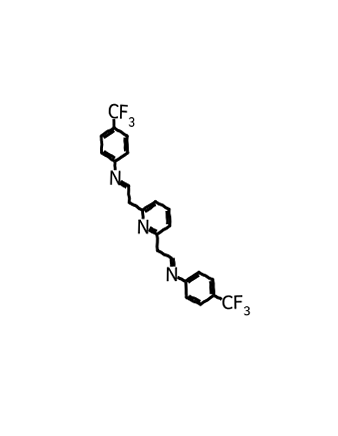 FC(F)(F)c1ccc(N=CCc2cccc(CC=Nc3ccc(C(F)(F)F)cc3)n2)cc1